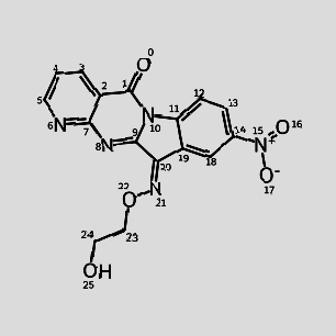 O=c1c2cccnc2nc2n1-c1ccc([N+](=O)[O-])cc1C2=NOCCO